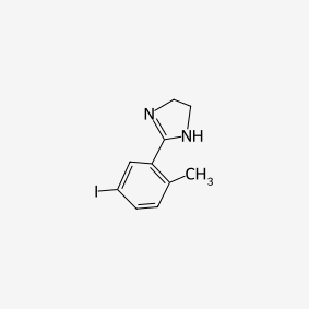 Cc1ccc(I)cc1C1=NCCN1